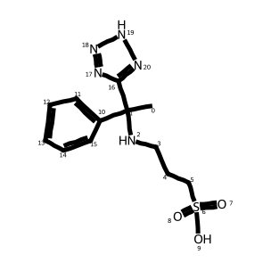 CC(NCCCS(=O)(=O)O)(c1ccccc1)c1nn[nH]n1